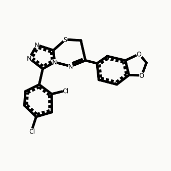 Clc1ccc(-c2nnc3n2N=C(c2ccc4c(c2)OCO4)CS3)c(Cl)c1